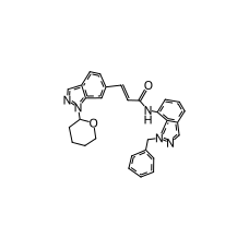 O=C(C=Cc1ccc2cnn(C3CCCCO3)c2c1)Nc1cccc2cnn(Cc3ccccc3)c12